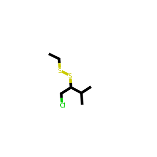 CCSSC(CCl)C(C)C